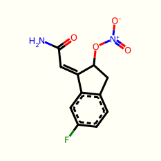 NC(=O)C=C1c2cc(F)ccc2CC1O[N+](=O)[O-]